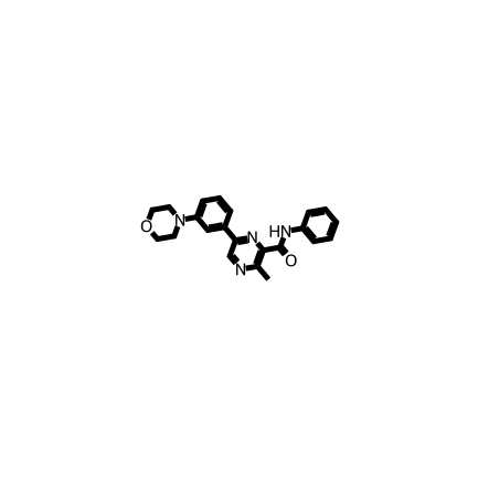 Cc1ncc(-c2cccc(N3CCOCC3)c2)nc1C(=O)Nc1ccccc1